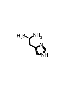 B[C@@H](N)Cc1c[nH]cn1